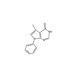 O=c1[nH]cnc2c1c(I)cn2-c1ccccc1